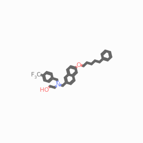 OCCN(Cc1ccc(C(F)(F)F)cc1)Cc1ccc2cc(OCCCCCc3ccccc3)ccc2c1